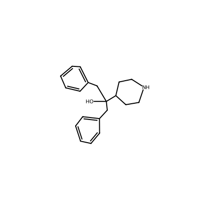 OC(Cc1ccccc1)(Cc1ccccc1)C1CCNCC1